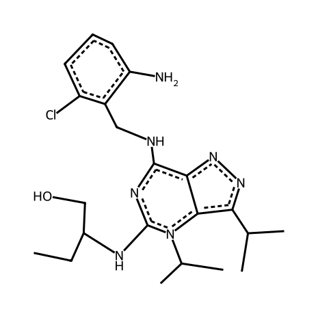 CCC(CO)Nc1nc(NCc2c(N)cccc2Cl)c2nnc(C(C)C)c-2n1C(C)C